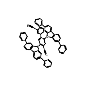 N#Cc1cccc(-c2cc(-n3c4cc(-c5ccccc5)ccc4c4ccc(-c5ccccc5)cc43)c(C#N)cc2-n2c3cc(-c4ccccc4)ccc3c3ccc(-c4ccccc4)cc32)c1